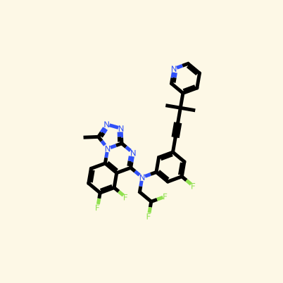 Cc1nnc2nc(N(CC(F)F)c3cc(F)cc(C#CC(C)(C)c4cccnc4)c3)c3c(F)c(F)ccc3n12